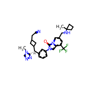 Cn1cnnc1[C@@H](c1cccc(-n2cc3c(C(F)(F)F)cc(CNC4(C)CCC4)cn3c2=O)c1)C1CC(CC#N)C1